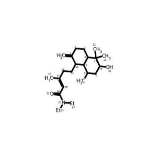 C=C1CCC2C(C(C)CC(O)C2(C)C)C1CCC(C)=CC(=O)N(CC)CC